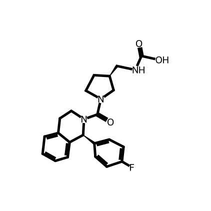 O=C(O)NC[C@@H]1CCN(C(=O)N2CCc3ccccc3[C@@H]2c2ccc(F)cc2)C1